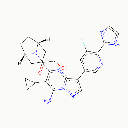 Nc1c(C2CC2)c([C@H]2C[C@H]3CC[C@@H](C2)N3C(=O)CO)nc2c(-c3cnc(-c4ncc[nH]4)c(F)c3)cnn12